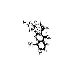 CC(C)(C)Nc1nc2c(Br)c(F)ccc2c(=O)n1C1CC1